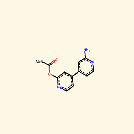 CNC(=O)Oc1cc(-c2ccnc(N)c2)ccn1